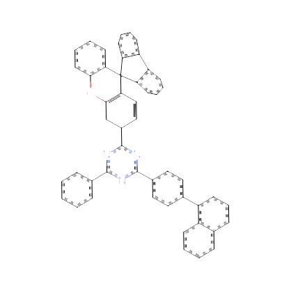 C1=CC(c2nc(-c3ccccc3)nc(-c3ccc(-c4cccc5ccccc45)cc3)n2)CC2=C1C1(c3ccccc3O2)c2ccccc2-c2ccccc21